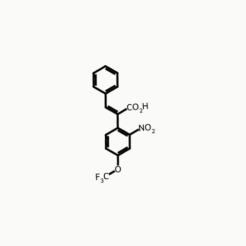 O=C(O)/C(=C\c1ccccc1)c1ccc(OC(F)(F)F)cc1[N+](=O)[O-]